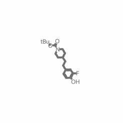 CC(C)(C)OC(=O)N1CCC(CCc2ccc(O)c(F)c2)CC1